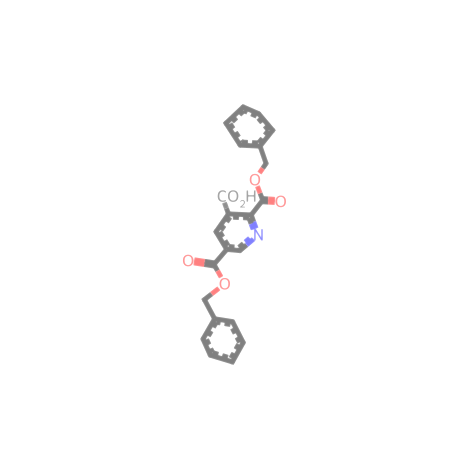 O=C(OCc1ccccc1)c1cnc(C(=O)OCc2ccccc2)c(C(=O)O)c1